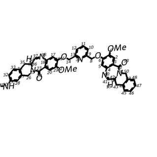 COc1cc2c(cc1OCc1cccc(COc3cc4c(cc3OC)C(=O)N3Cc5cc(NC(C)C)ccc5C[C@H]3C=N4)n1)N=C[C@@H]1Cc3ccccc3CN1C2=O